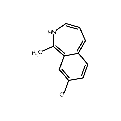 CC1=c2cc(Cl)ccc2=CC=CN1